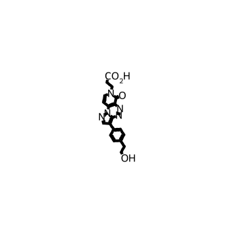 O=C(O)CCn1ccc2c(nnc3c(-c4ccc(CCO)cc4)cnn32)c1=O